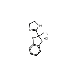 CC1(C2=NCCN2)Oc2ccccc2O1.Cl